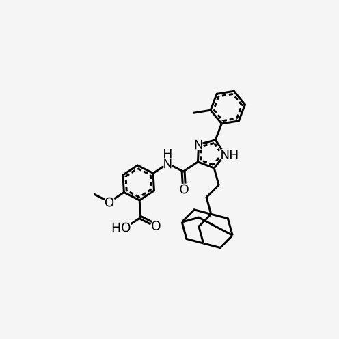 COc1ccc(NC(=O)c2nc(-c3ccccc3C)[nH]c2CCC23CC4CC(CC(C4)C2)C3)cc1C(=O)O